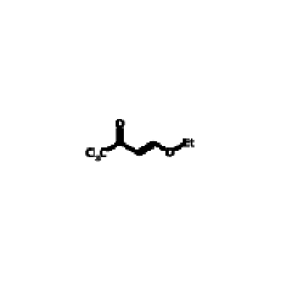 CCOC=CC(=O)C(Cl)(Cl)Cl